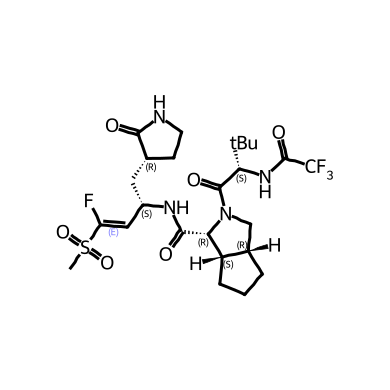 CC(C)(C)[C@H](NC(=O)C(F)(F)F)C(=O)N1C[C@@H]2CCC[C@@H]2[C@@H]1C(=O)N[C@H](/C=C(\F)S(C)(=O)=O)C[C@H]1CCNC1=O